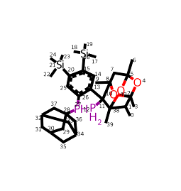 CC1C2(C)OC3(C)CC(C)(O2)C(P)(c2cc([Si](C)(C)C)c([Si](C)(C)C)cc2PC24CC5CC(CC(C5)C2)C4)C1(C)O3